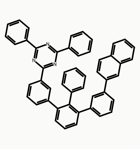 c1ccc(-c2nc(-c3ccccc3)nc(-c3cccc(-c4cccc(-c5cccc(-c6ccc7ccccc7c6)c5)c4-c4ccccc4)c3)n2)cc1